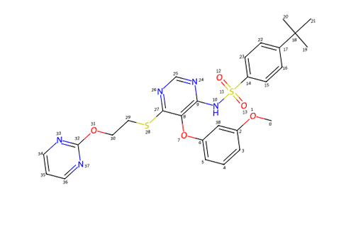 COc1cccc(Oc2c(NS(=O)(=O)c3ccc(C(C)(C)C)cc3)ncnc2SCCOc2ncccn2)c1